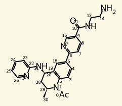 CC(=O)N1c2ccc(-c3ccc(C(=O)NCCN)cn3)cc2[C@H](Nc2ccccn2)C[C@@H]1C